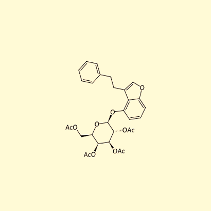 CC(=O)OC[C@H]1O[C@@H](Oc2cccc3occ(CCc4ccccc4)c23)[C@H](OC(C)=O)[C@@H](OC(C)=O)[C@H]1OC(C)=O